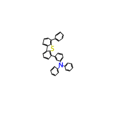 c1ccc(-c2cccc3c2sc2c(-c4cccc(N(c5ccccc5)c5ccccc5)c4)cccc23)cc1